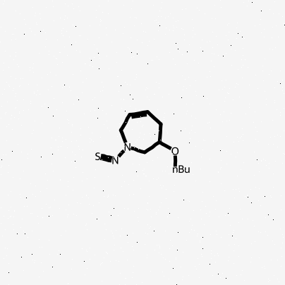 CCCCOC1CC=CCN(N=S)C1